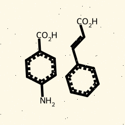 Nc1ccc(C(=O)O)cc1.O=C(O)C=Cc1ccccc1